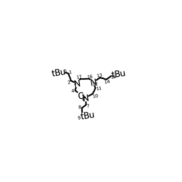 CC(C)(C)CCN1CCN(CCC(C)(C)C)CCN(CCC(C)(C)C)CC1